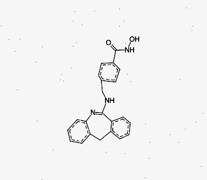 O=C(NO)c1ccc(CNC2=Nc3ccccc3Cc3ccccc32)cc1